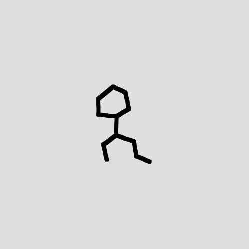 CCC[C](CC)C1CCCCC1